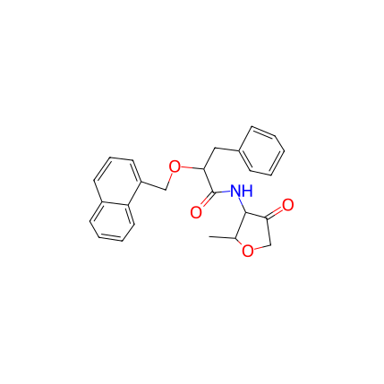 CC1OCC(=O)C1NC(=O)C(Cc1ccccc1)OCc1cccc2ccccc12